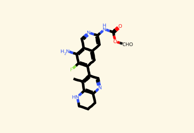 Cc1c(-c2cc3cc(NC(=O)OC=O)ncc3c(N)c2F)cnc2c1NCCC2